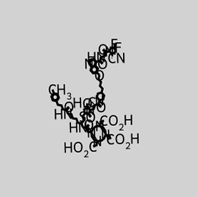 Cc1ccc(CCCC(=O)NCCCCC(CSC2CC(=O)N(C[C@@H](C)C(=O)N3CCC(CCCCOc4ccc5nccc(C(=O)NCC(=O)N6CC(F)(F)C[C@@H]6C#N)c5c4)CC3)C2=O)NC(=O)CN2CCN(CC(=O)O)CCN(CC(=O)O)CCN(CC(=O)O)CC2)cc1